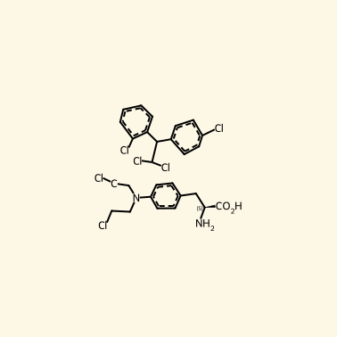 Clc1ccc(C(c2ccccc2Cl)C(Cl)Cl)cc1.N[C@@H](Cc1ccc(N(CCCl)CCCl)cc1)C(=O)O